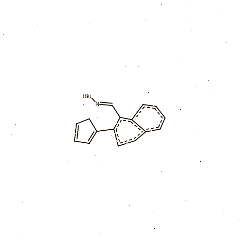 CC(C)(C)N=Cc1c(C2=CC=CC2)ccc2ccccc12